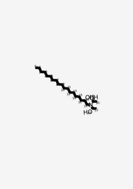 CCCCCCCCCCCCCCCCCC(O)CN(C(C)O)C(C)O